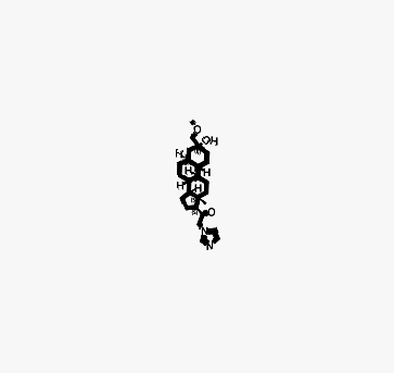 COC[C@]1(O)CC[C@H]2[C@@H](CC[C@@H]3[C@@H]2CC[C@]2(C)[C@@H](C(=O)Cn4ccnc4)CC[C@@H]32)C1